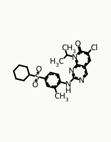 Cc1cc(S(=O)(=O)C2CCCCC2)ccc1Nc1ncc2cc(Cl)c(=O)n(C(C)C)c2n1